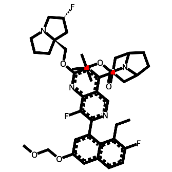 CCc1c(F)ccc2cc(OCOC)cc(-c3ncc4c(N5CC6CCC(C5)N6C(=O)OC(C)(C)C)nc(OC[C@@]56CCCN5C[C@H](F)C6)nc4c3F)c12